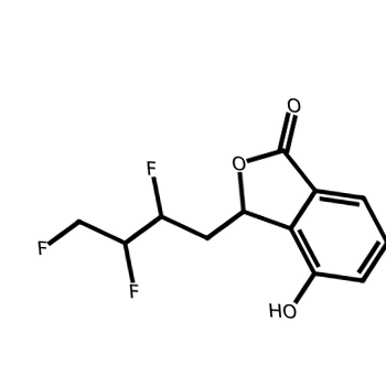 O=C1OC(CC(F)C(F)CF)c2c(O)cccc21